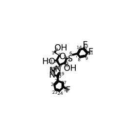 OC[C@H]1O[C@@H](SCc2ccc(F)c(F)c2)[C@H](O)[C@@H](n2cc(-c3cccc(F)c3)nn2)[C@H]1O